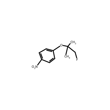 CC(C)(CF)Oc1ccc([N+](=O)[O-])cc1